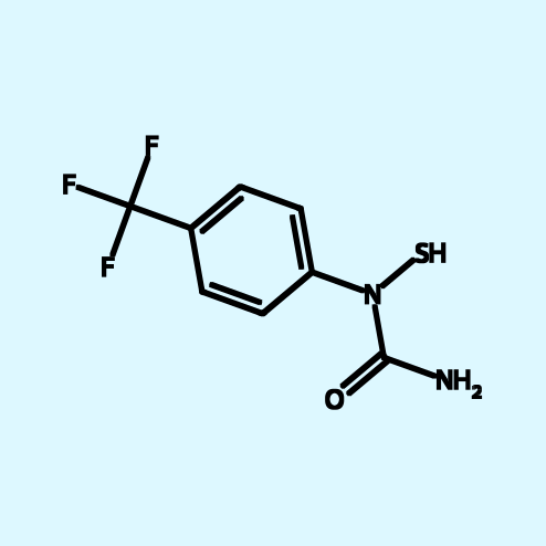 NC(=O)N(S)c1ccc(C(F)(F)F)cc1